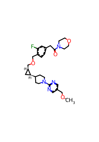 COCc1cnc(N2CCC([C@H]3C[C@H]3COCc3ccc(CC(=O)N4CCOCC4)cc3F)CC2)nc1